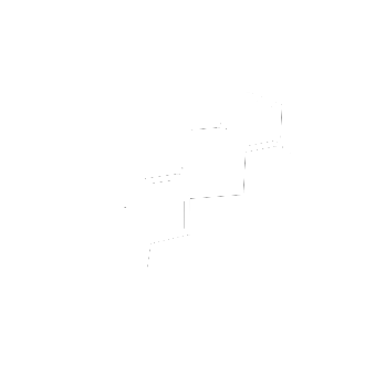 Cn1ccnc1Cc1ccc(Cl)c(Cl)c1O